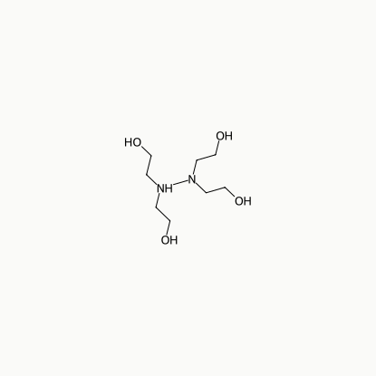 CN(CCO)CCO.OCCNCCO